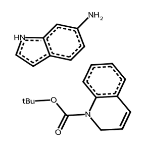 CC(C)(C)OC(=O)N1CC=Cc2ccccc21.Nc1ccc2cc[nH]c2c1